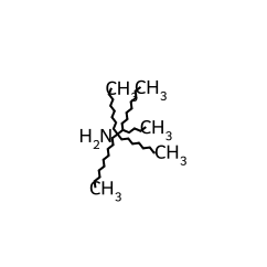 CCCCCCCCCC(N)C(CCCCCCCC)(CCCCCCCC)C(CCCC)CCCCCCCC